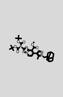 COC(=O)c1c(-c2cnn(CC34CC5CC(CC(C5)C3)C4)c2C)ccn2nc(N(C(=O)OC(C)(C)C)C(=O)OC(C)(C)C)nc12